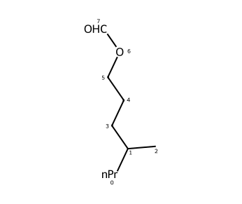 CCCC(C)CCCOC=O